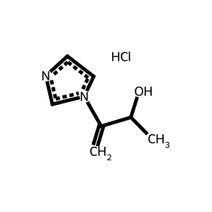 C=C(C(C)O)n1ccnc1.Cl